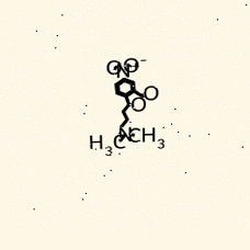 CN(C)CCCC1OC(=O)c2cc([N+](=O)[O-])ccc21